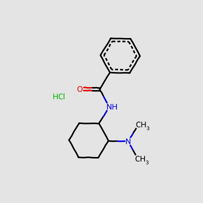 CN(C)C1CCCCC1NC(=O)c1ccccc1.Cl